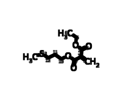 C=C(C(=O)OCC)C(=O)OCCCSC